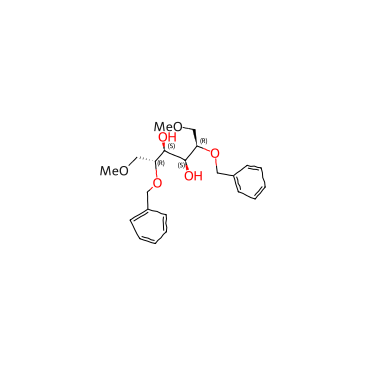 COC[C@@H](OCc1ccccc1)[C@@H](O)[C@H](O)[C@@H](COC)OCc1ccccc1